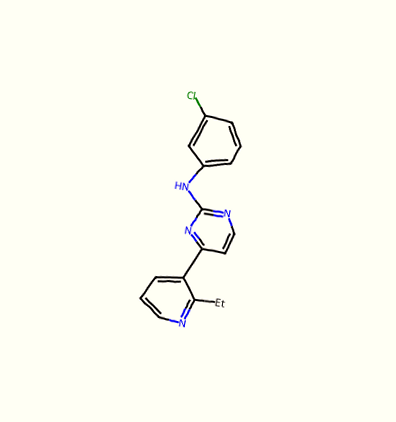 CCc1ncccc1-c1ccnc(Nc2cccc(Cl)c2)n1